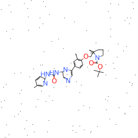 Cc1ccc(NC(=O)Nc2cncc(-c3ccc(OC[C@]4(C)CCCN4C(=O)OC(C)(C)C)c(C)c3)n2)nc1